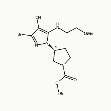 COCCNc1c(C#N)c(Br)nn1[C@H]1CCN(C(=O)OC(C)(C)C)C1